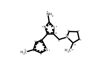 Cc1csc(-c2nc(N)sc2CN2CCCC2C)c1